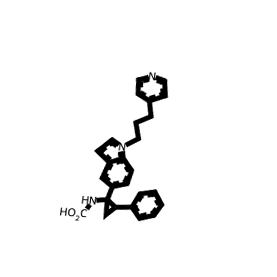 O=C(O)NC1(c2ccc3c(ccn3CCCc3ccncc3)c2)CC1c1ccccc1